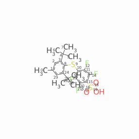 Cc1cc(C(C)(C)C)c(Sc2c(F)c(F)c(S(=O)(=O)O)c(F)c2F)c(C(C)(C)C)c1